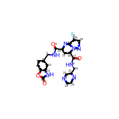 O=C(NCc1ccc2oc(=O)[nH]c2c1)c1cc(C(=O)NCc2cnccn2)n2ncc(F)c2n1